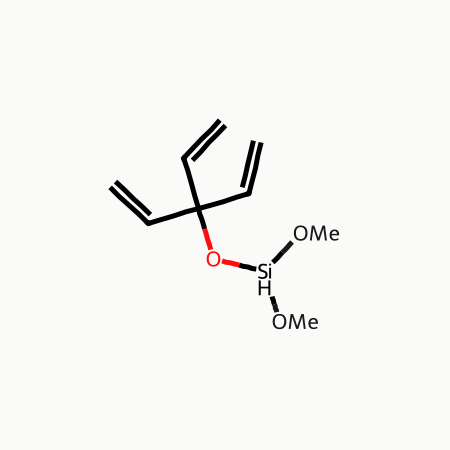 C=CC(C=C)(C=C)O[SiH](OC)OC